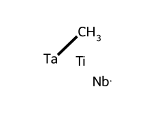 [CH3][Ta].[Nb].[Ti]